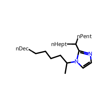 CCCCCCCCCCCCCCC(C)n1ccnc1C(CCCCC)CCCCCCC